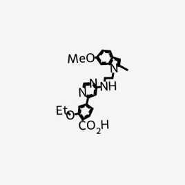 CCOc1cc(-c2cc(NCCn3c(C)cc4ccc(OC)cc43)ncn2)ccc1C(=O)O